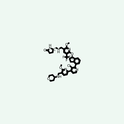 COc1nc(-c2ccnc(-c3cccc4c3CC[C@H]4Oc3nc(OC)c(CNC[C@@H]4CCC(=O)N4)cc3C(F)(F)F)c2Cl)ccc1CNC1CCOCC1